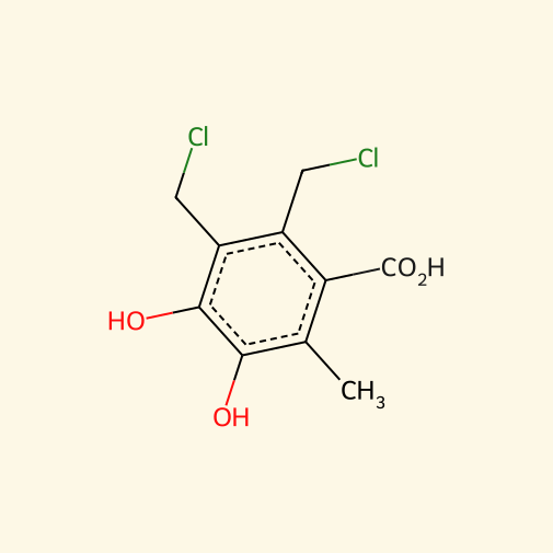 Cc1c(O)c(O)c(CCl)c(CCl)c1C(=O)O